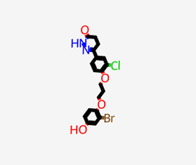 O=C1CCC(c2ccc(OCCCOc3ccc(O)cc3Br)c(Cl)c2)=NN1